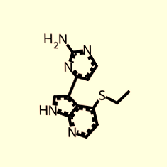 CCSc1ccnc2[nH]cc(-c3ccnc(N)n3)c12